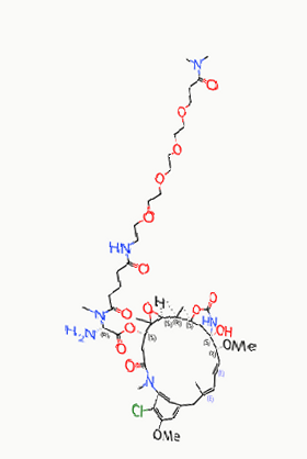 COc1cc2cc(c1Cl)N(C)C(=O)C[C@H](OC(=O)[C@H](N)N(C)C(=O)CCCC(=O)NCCOCCOCCOCCOCCC(=O)N(C)C)C1(C)O[C@H]1[C@@]1(C)C[C@]13C[C@@](O)(NC(=O)O3)[C@H](OC)/C=C/C=C(\C)C2